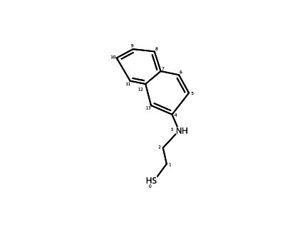 SCCNc1ccc2ccccc2c1